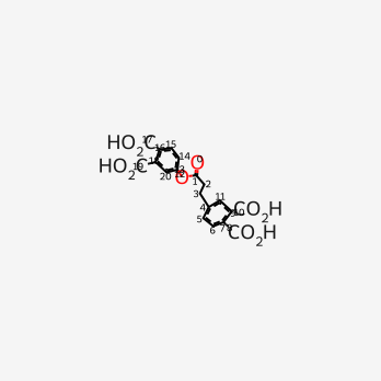 O=C(CCc1ccc(C(=O)O)c(C(=O)O)c1)Oc1ccc(C(=O)O)c(C(=O)O)c1